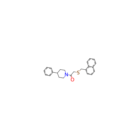 O=C(CSCc1cccc2ccccc12)N1CCC(c2ccccc2)CC1